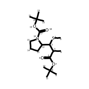 CSC(C(C)C(=O)OC(C)(C)C)C1CCCN1C(=O)OC(C)(C)C